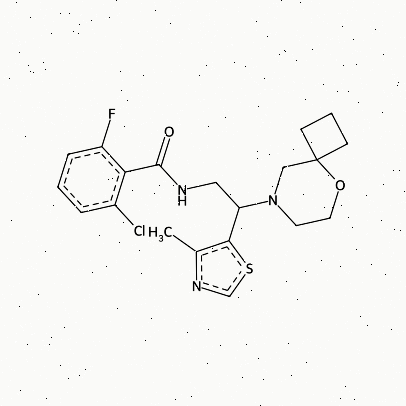 Cc1ncsc1C(CNC(=O)c1c(F)cccc1Cl)N1CCOC2(CCC2)C1